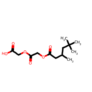 CC(CC(=O)OCC(=O)OCC(=O)O)CC(C)(C)C